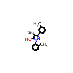 Cc1cccc(-c2nn(-c3ccccc3C)c(O)c2C(C)(C)C)c1